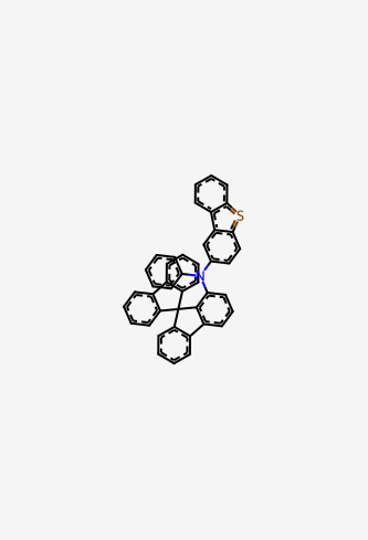 c1ccc(N(c2ccc3sc4ccccc4c3c2)c2cccc3c2C2(c4ccccc4-c4ccccc42)c2ccccc2-3)cc1